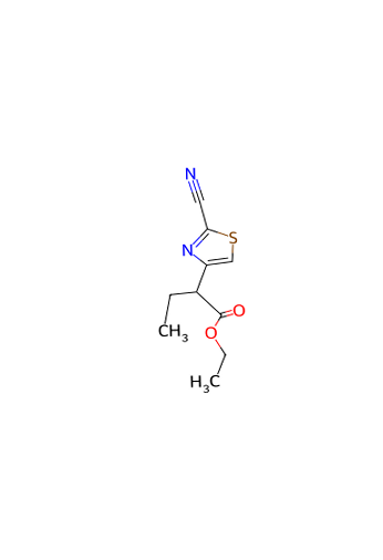 CCOC(=O)C(CC)c1csc(C#N)n1